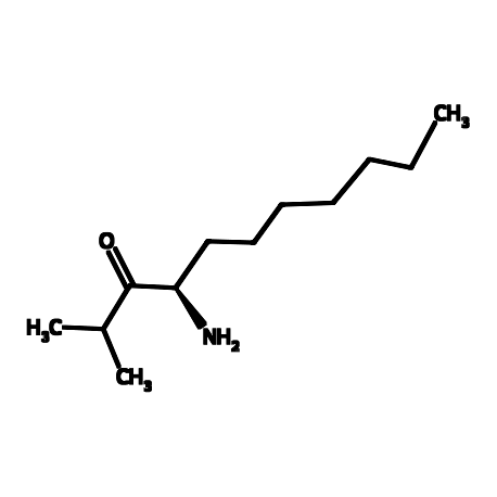 CCCCCCC[C@@H](N)C(=O)C(C)C